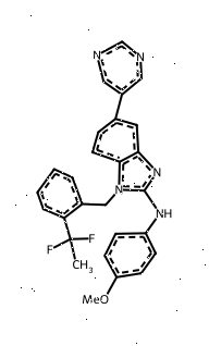 COc1ccc(Nc2nc3cc(-c4cncnc4)ccc3n2Cc2ccccc2C(C)(F)F)cc1